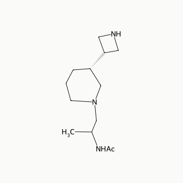 CC(=O)NC(C)CN1CCC[C@H](C2CNC2)C1